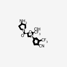 Cl.N#Cc1ccc(N2C[C@@H](C(=O)N3CCC(N)CC3)O[C@@H]2C(F)(F)F)cc1C(F)(F)F